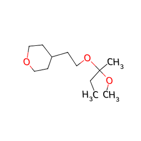 CCC(C)(OC)OCCC1CCOCC1